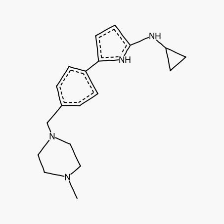 CN1CCN(Cc2ccc(-c3ccc(NC4CC4)[nH]3)cc2)CC1